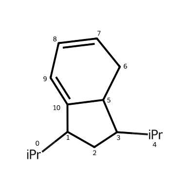 CC(C)C1CC(C(C)C)C2CC=CC=C12